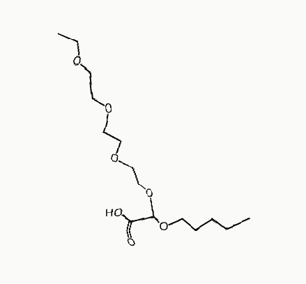 CCCCCOC(OCCOCCOCCOCC)C(=O)O